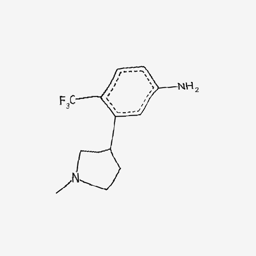 CN1CCC(c2cc(N)ccc2C(F)(F)F)C1